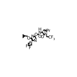 CC(C)C[C@H](NC(=O)Oc1cnc(N2CC(F)(F)C2)c(OCC2CC2)n1)C(=O)NCC(F)(F)F